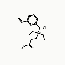 C=Cc1cccc(C[N+](CC)(CC)CCC(N)=O)c1.[Cl-]